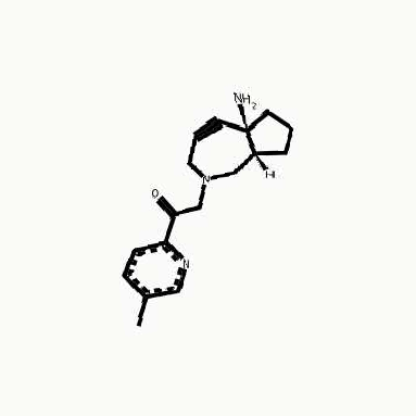 Cc1ccc(C(=O)CN2CC#C[C@]3(N)CCC[C@@H]3C2)nc1